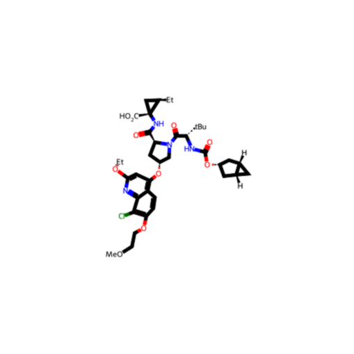 CCOc1cc(O[C@@H]2C[C@@H](C(=O)N[C@]3(C(=O)O)C[C@H]3CC)N(C(=O)[C@@H](NC(=O)O[C@@H]3C[C@@H]4C[C@@H]4C3)C(C)(C)C)C2)c2ccc(OCCOC)c(Cl)c2n1